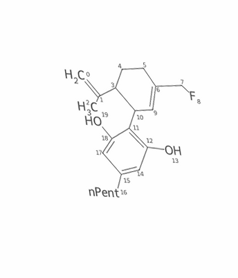 C=C(C)C1CCC(CF)=CC1c1c(O)cc(CCCCC)cc1O